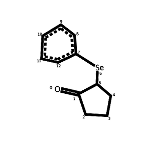 O=C1CCCC1[Se]c1ccccc1